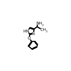 CC(N)c1c[nH]c(Oc2ccccc2)n1